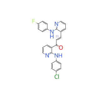 O=C(/C=C/c1cccnc1Nc1ccc(F)cc1)c1cccnc1Nc1ccc(Cl)cc1